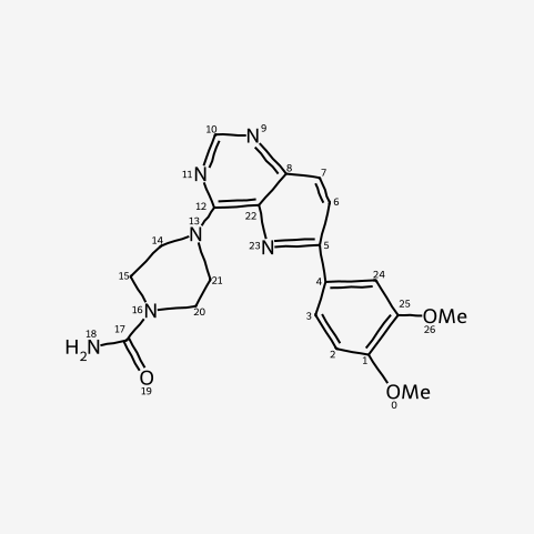 COc1ccc(-c2ccc3ncnc(N4CCN(C(N)=O)CC4)c3n2)cc1OC